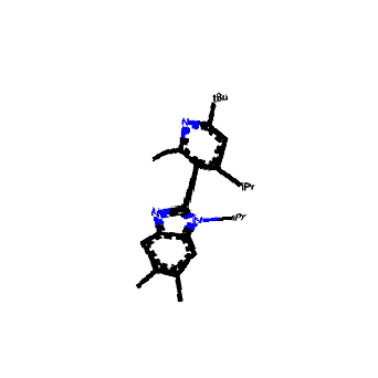 Cc1cc2nc(-c3c(C(C)C)cc(C(C)(C)C)nc3C)n(C(C)C)c2cc1C